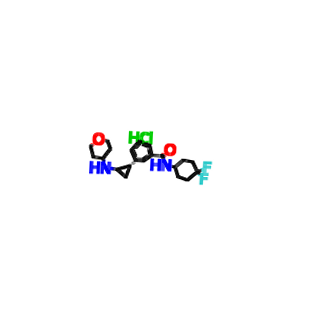 Cl.O=C(NC1CCC(F)(F)CC1)c1cccc([C@@H]2C[C@H]2NC2CCOCC2)c1